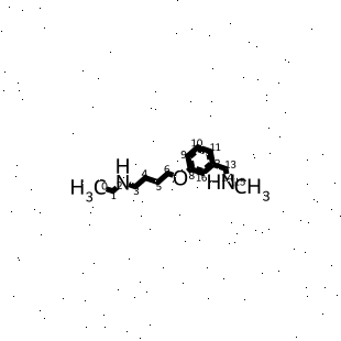 CCNCCCCOc1cccc(CNC)c1